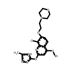 Cc1nnc(Oc2cc(OC(C)C)c3ccc(OCCN4CCOCC4)c(Cl)c3n2)[nH]1